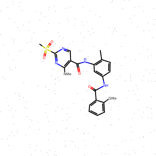 CNc1nc(S(C)(=O)=O)ncc1C(=O)Nc1cc(NC(=O)c2ccccc2OC)ccc1C